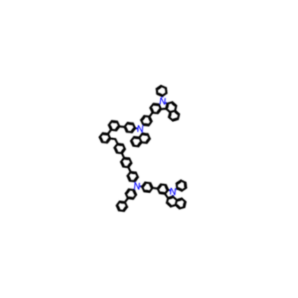 C1=CCCC(n2c3ccc(-c4ccc(N(c5ccc(-c6cccc(-c7ccccc7Cc7ccc(-c8ccc(-c9ccc(N(c%10ccc(-c%11ccccc%11)cc%10)c%10ccc(-c%11ccc%12c(c%11)c%11ccc%13ccccc%13c%11n%12-c%11ccccc%11)cc%10)cc9)cc8)cc7)c6)cc5)c5cccc6ccccc56)cc4)cc3c3c4ccccc4ccc32)=C1